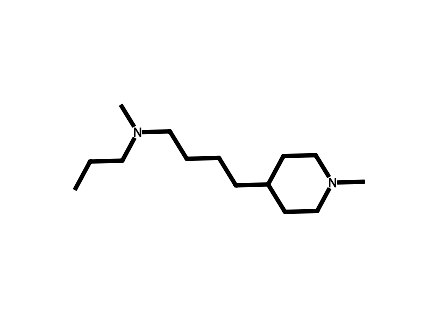 CCCN(C)CCCCC1CCN(C)CC1